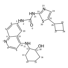 O=C(Nc1ccc2nccc(NC3CCCCC3O)c2c1)Nc1ncc(C2CCC2)s1